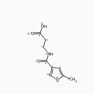 Cc1cc(C(=O)NCCC(=O)O)no1